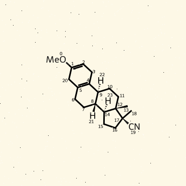 COC1=CCC2=C(CC[C@@H]3[C@@H]2CC[C@@]2(C)[C@H]3CC[C@]2(C)C#N)C1